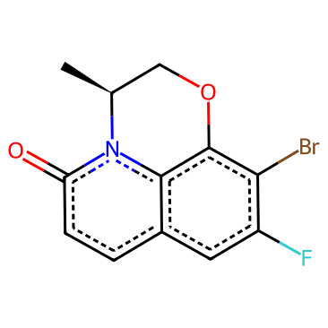 C[C@H]1COc2c(Br)c(F)cc3ccc(=O)n1c23